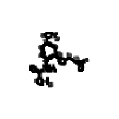 CC(=O)Nc1ccc(C)cc1OCC1CO1